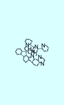 CC1(C)c2ccccc2-c2ccc3c4ccc5nccnc5c4n(-c4cc(-c5ccccn5)nc(-c5ccccn5)c4)c3c21